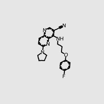 N#Cc1cnc2ccc(N3CCCC3)nc2c1NCCCOc1ccc(F)cc1